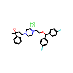 CC(O)(CCN1CCN(CCOC(c2ccc(F)cc2)c2ccc(F)cc2)CC1)c1ccccc1.Cl.Cl